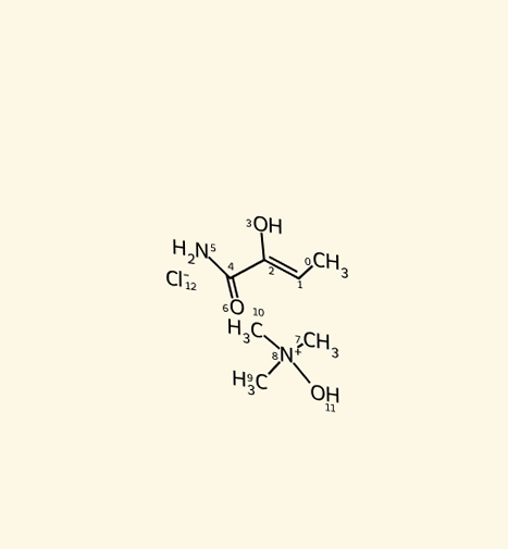 CC=C(O)C(N)=O.C[N+](C)(C)O.[Cl-]